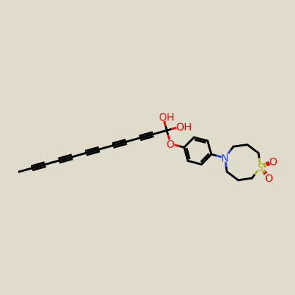 CC#CC#CC#CC#CC#CC(O)(O)Oc1ccc(N2CCCS(=O)(=O)CCC2)cc1